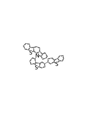 c1ccc2c(c1)sc1cc(-c3ccc4sc5cccc(-n6c7ccccc7c7ccc8c9ccccc9sc8c76)c5c4c3)ccc12